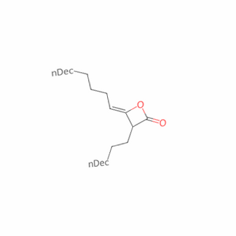 CCCCCCCCCCCCCC=C1OC(=O)C1CCCCCCCCCCCC